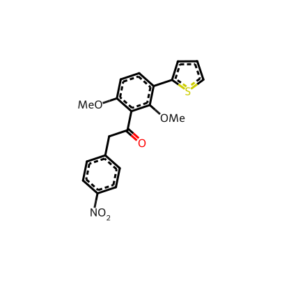 COc1ccc(-c2cccs2)c(OC)c1C(=O)Cc1ccc([N+](=O)[O-])cc1